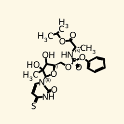 CC(C)OC(=O)[C@H](C)NP(=O)(OC[C@H]1O[C@@H](n2ccc(=S)[nH]c2=O)C(C)(O)C1O)Oc1ccccc1